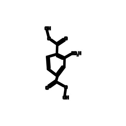 O=C(OO)c1ccc(C(=O)OO)c(S(=O)(=O)O)c1